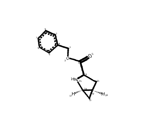 O=C(OCc1ccccc1)C1C[C@H]2C[C@H]2N1